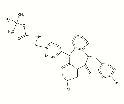 CC(C)(C)OC(=O)NCc1ccc(N2C(=O)C(CC(=O)O)C(=O)N(Cc3ccc(Br)cc3)c3ccccc32)cc1